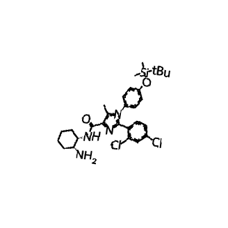 Cc1c(C(=O)N[C@H]2CCCC[C@H]2N)nc(-c2ccc(Cl)cc2Cl)n1-c1ccc(O[Si](C)(C)C(C)(C)C)cc1